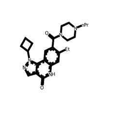 CCCN1CCN(C(=O)c2cc3c(cc2CC)[nH]c(=O)c2cnn(C4CCC4)c23)CC1